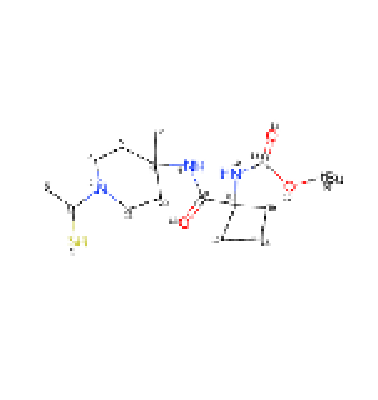 CC(S)N1CCC(C)(NC(=O)C2(NC(=O)OC(C)(C)C)CCC2)CC1